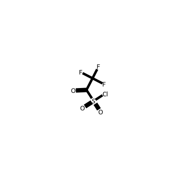 O=C(C(F)(F)F)S(=O)(=O)Cl